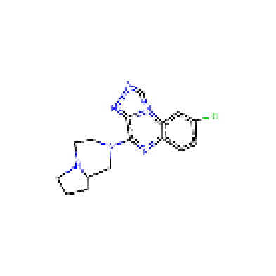 Clc1ccc2nc(N3CCN4CCCC4C3)c3nncn3c2c1